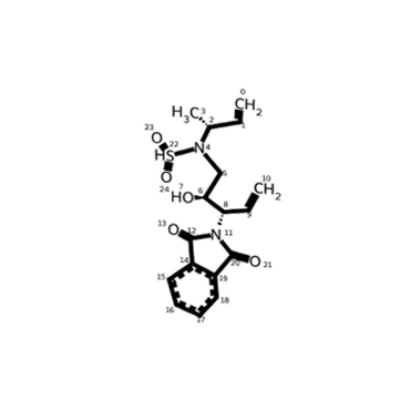 C=C[C@@H](C)N(C[C@H](O)[C@H](C=C)N1C(=O)c2ccccc2C1=O)[SH](=O)=O